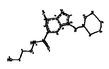 O=C(NOCCO)c1cc(F)c2ncn(CC3CCCCO3)c2c1